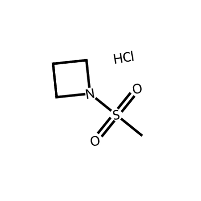 CS(=O)(=O)N1CCC1.Cl